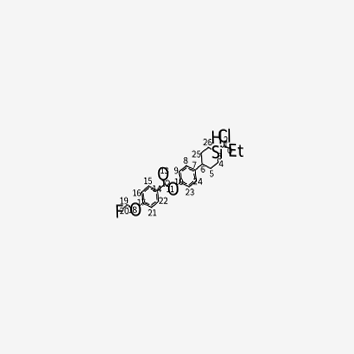 CCC(Cl)[SiH]1CCC(c2ccc(OC(=O)c3ccc(OCF)cc3)cc2)CC1